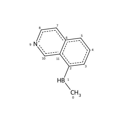 CBc1cccc2ccncc12